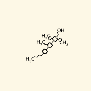 CCCCCc1ccc(-c2ccc(-c3cc(OC)c(CCO)cc3OC)cc2CC)cc1